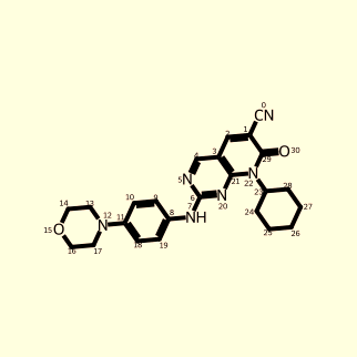 N#Cc1cc2cnc(Nc3ccc(N4CCOCC4)cc3)nc2n(C2CCCCC2)c1=O